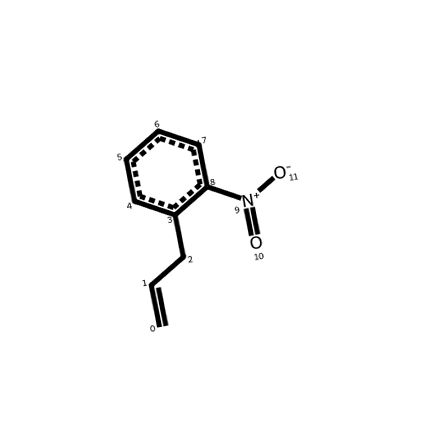 C=CCc1ccc[c]c1[N+](=O)[O-]